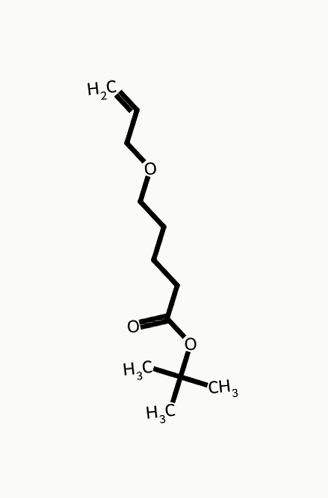 C=CCOCCCCC(=O)OC(C)(C)C